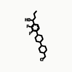 CCCC(O)c1ccc(C2CCC(C3CCC(CCl)CC3)CC2)c(F)c1F